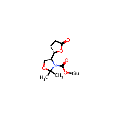 CC(C)(C)OC(=O)N1[C@H]([C@@H]2CCC(=O)O2)COC1(C)C